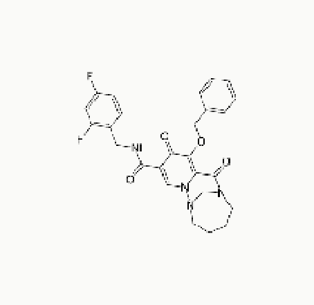 O=C(NCc1ccc(F)cc1F)c1cn2c(c(OCc3ccccc3)c1=O)C(=O)N1CCCCN2C1